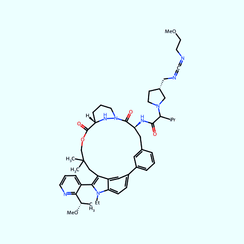 CCn1c(-c2cccnc2[C@H](C)OC)c2c3cc(ccc31)-c1cccc(c1)C[C@H](NC(=O)C(C(C)C)N1CC[C@H](CN=C=NCCOC)C1)C(=O)N1CCC[C@H](N1)C(=O)OCC(C)(C)C2